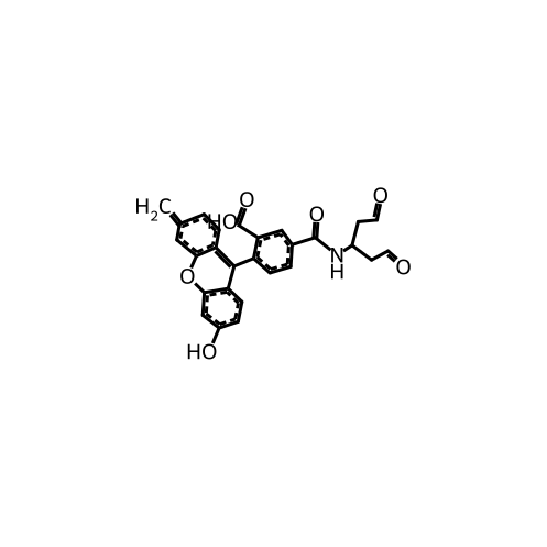 C=c1ccc2c(c1)Oc1cc(O)ccc1C=2c1ccc(C(=O)NC(CC=O)CC=O)cc1C(=O)O